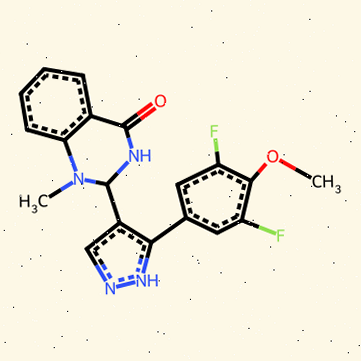 COc1c(F)cc(-c2[nH]ncc2C2NC(=O)c3ccccc3N2C)cc1F